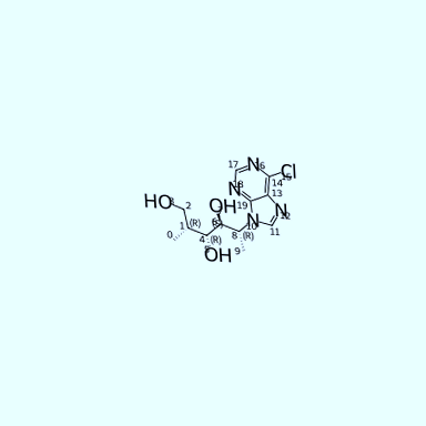 C[C@H](CO)[C@@H](O)[C@@H](O)[C@@H](C)n1cnc2c(Cl)ncnc21